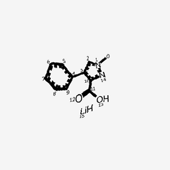 Cn1cc(-c2ccccc2)c(C(=O)O)n1.[LiH]